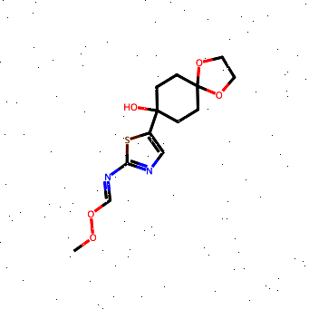 COO/C=N/c1ncc(C2(O)CCC3(CC2)OCCO3)s1